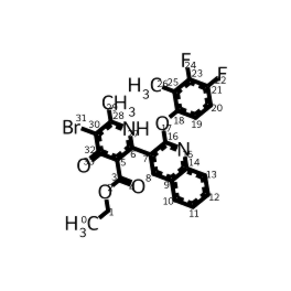 CCOC(=O)c1c(-c2cc3ccccc3nc2Oc2ccc(F)c(F)c2C)[nH]c(C)c(Br)c1=O